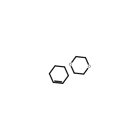 C1=CCCCC1.C1COCCO1